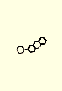 c1ccc2c(c1)Cc1cc(N3CCOCC3)ccc1O2